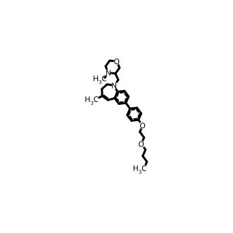 CCCCOCCOc1ccc(-c2ccc3c(c2)C=C(C)CCN3CC2COCCN2C)cc1